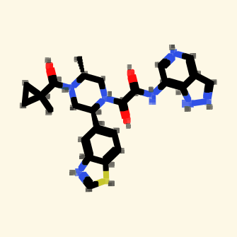 C[C@@H]1CN(C(=O)C(=O)Nc2cncc3cn[nH]c23)[C@@H](c2ccc3scnc3c2)CN1C(=O)C1(C)CC1